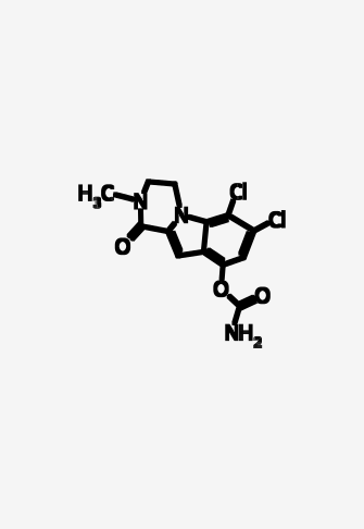 CN1CCn2c(cc3c(OC(N)=O)cc(Cl)c(Cl)c32)C1=O